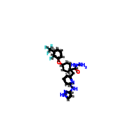 NNC(=O)C1(Cc2cccc(Nc3cc[nH]n3)n2)CCC(Oc2cccc(C(F)(F)F)c2F)CC1